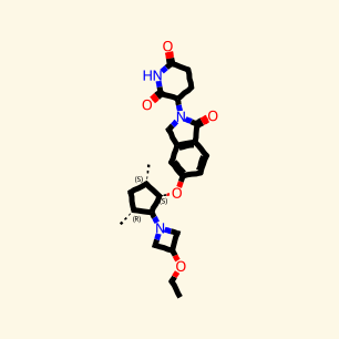 CCOC1CN(C2[C@H](C)C[C@H](C)[C@@H]2Oc2ccc3c(c2)CN(C2CCC(=O)NC2=O)C3=O)C1